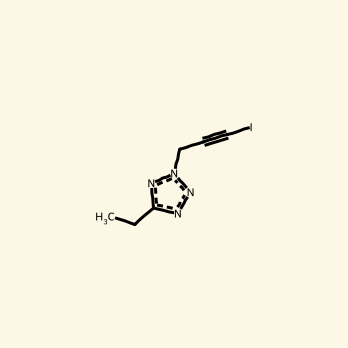 CCc1nnn(CC#CI)n1